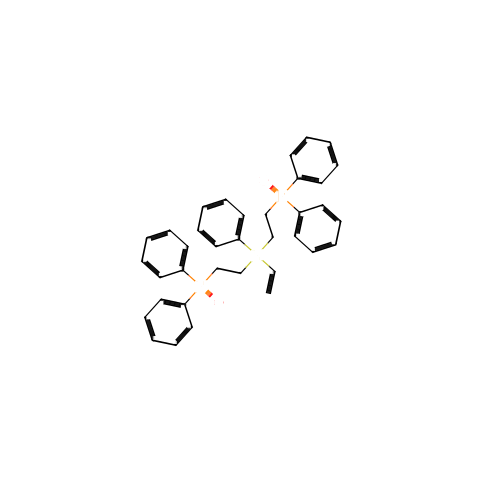 C=CS(CCP(=O)(c1ccccc1)c1ccccc1)(CCP(=O)(c1ccccc1)c1ccccc1)c1ccccc1